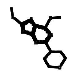 COc1nc(C2CCOCC2)nc2nc(SC)sc12